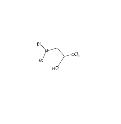 CCN(CC)CC(O)C(Cl)(Cl)Cl